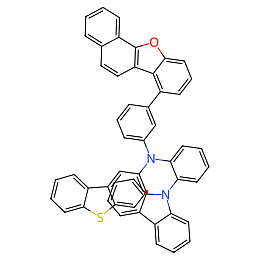 c1cc(-c2cccc3oc4c5ccccc5ccc4c23)cc(N(c2ccc3sc4ccccc4c3c2)c2ccccc2-n2c3ccccc3c3ccccc32)c1